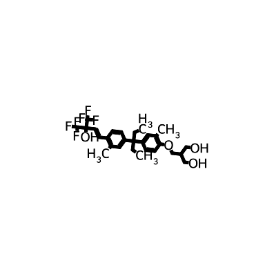 CCC(CC)(c1ccc(/C=C/C(O)(C(F)(F)F)C(F)(F)F)c(C)c1)c1ccc(OCC(CO)CO)c(C)c1